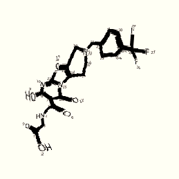 O=C(O)CNC(=O)c1c(O)nc2sc3c(n2c1=O)CCN(Cc1ccc(C(F)(F)F)cc1)C3